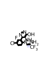 N/C(=C\N(N)c1ccc(Cl)c(F)c1-c1cc(O)ncn1)C(F)(F)F